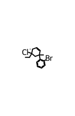 CCC1(Cl)[CH]C=CC(C)(c2ccccc2Br)C1